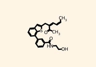 C/C=C\C=C(\Cc1cc2cccc(-c3cccc(C(=O)NCCO)c3)c2s1)C(C)=O